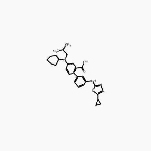 CC(C)CN(c1ccc(-c2cccc(Nc3nnc(C4CC4)s3)c2)c(C(=O)O)c1)C1CCCCC1